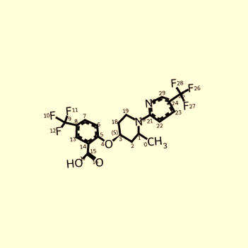 CC1C[C@@H](Oc2ccc(C(F)(F)F)cc2C(=O)O)CCN1c1ccc(C(F)(F)F)cn1